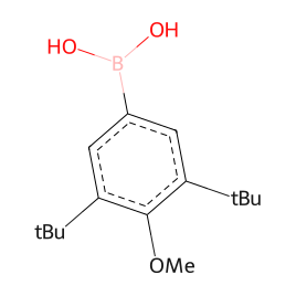 COc1c(C(C)(C)C)cc(B(O)O)cc1C(C)(C)C